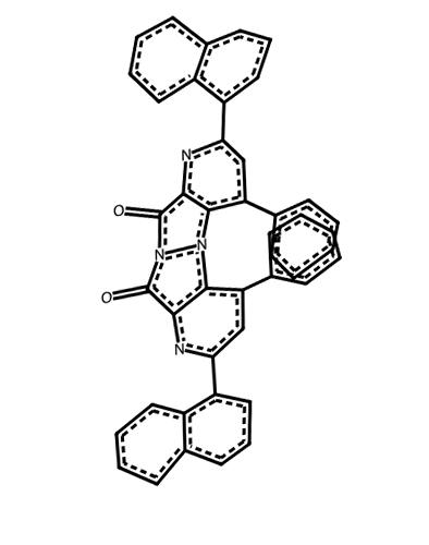 O=c1c2nc(-c3cccc4ccccc34)cc(-c3ccccc3)c2n2c3c(-c4ccccc4)cc(-c4cccc5ccccc45)nc3c(=O)n12